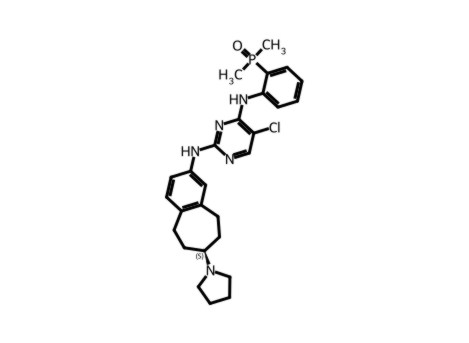 CP(C)(=O)c1ccccc1Nc1nc(Nc2ccc3c(c2)CC[C@@H](N2CCCC2)CC3)ncc1Cl